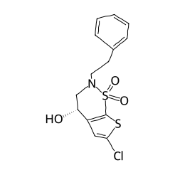 O=S1(=O)c2sc(Cl)cc2[C@H](O)CN1CCc1ccccc1